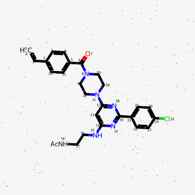 C=Cc1ccc(C(=O)N2CCN(c3cc(NCCNC(C)=O)nc(-c4ccc(Cl)cc4)n3)CC2)cc1